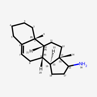 C[C@]12CCCCC1=CC[C@@H]1[C@H]2CC[C@]2(C)C(N)CC[C@@H]12